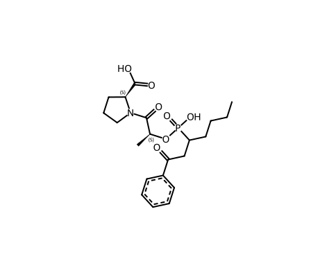 CCCCC(CC(=O)c1ccccc1)P(=O)(O)O[C@@H](C)C(=O)N1CCC[C@H]1C(=O)O